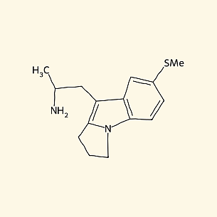 CSc1ccc2c(c1)c(CC(C)N)c1n2CCC1